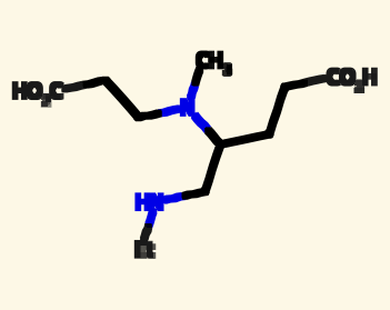 CCNCC(CCC(=O)O)N(C)CCC(=O)O